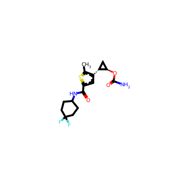 Cc1sc(C(=O)NC2CCC(F)(F)CC2)cc1[C@@H]1C[C@H]1OC(N)=O